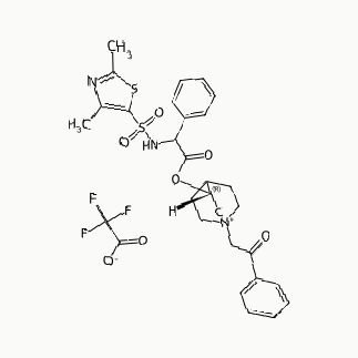 Cc1nc(C)c(S(=O)(=O)NC(C(=O)O[C@H]2C[N+]3(CC(=O)c4ccccc4)CCC2CC3)c2ccccc2)s1.O=C([O-])C(F)(F)F